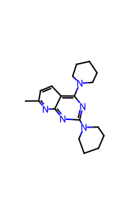 Cc1ccc2c(N3CCCCC3)nc(N3CCCCC3)nc2n1